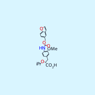 COc1cc(CC(OC(C)C)C(=O)O)ccc1NC(=O)OCc1ccc2occc2c1